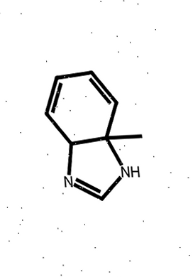 CC12C=CC=CC1N=CN2